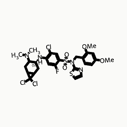 COc1ccc(CN(c2nccs2)S(=O)(=O)c2cc(Cl)c(N[C@H]3CC4C(CC3N(C)C)C4(Cl)Cl)cc2F)c(OC)c1